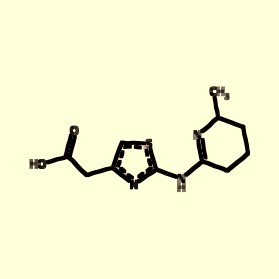 CC1CCCC(Nc2nc(CC(=O)O)cs2)=N1